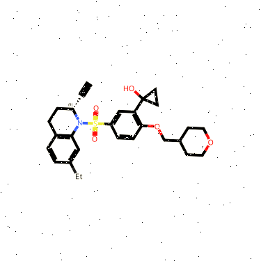 C#C[C@H]1CCc2ccc(CC)cc2N1S(=O)(=O)c1ccc(OCC2CCOCC2)c(C2(O)CC2)c1